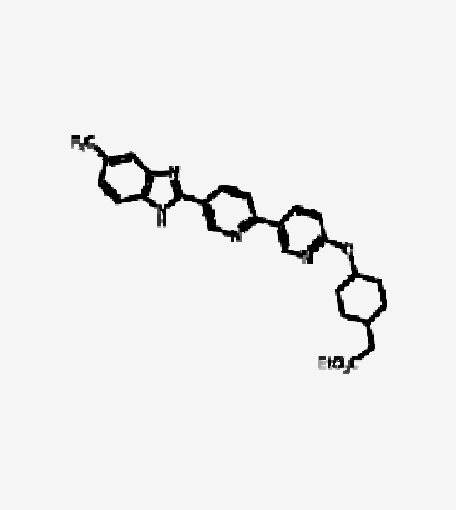 CCOC(=O)CC1CCC(Oc2ccc(-c3ccc(-c4nc5cc(C(F)(F)F)ccc5[nH]4)cn3)cn2)CC1